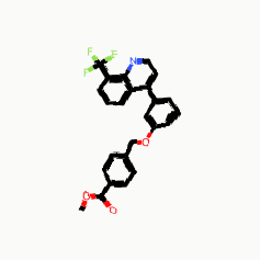 COC(=O)c1ccc(COc2cccc(-c3ccnc4c(C(F)(F)F)cccc34)c2)cc1